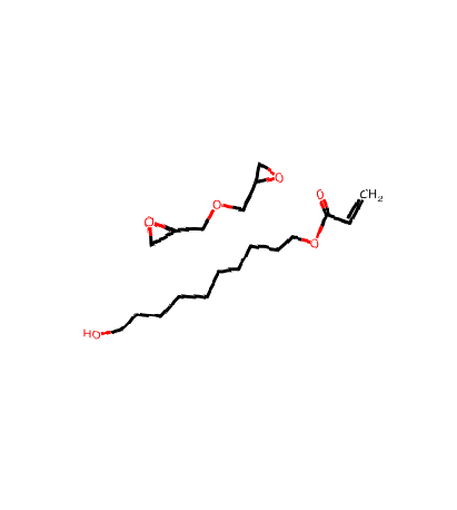 C(OCC1CO1)C1CO1.C=CC(=O)OCCCCCCCCCCO